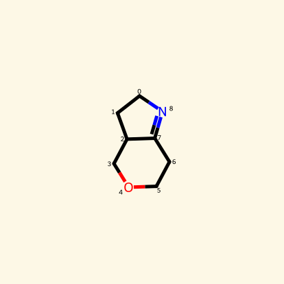 C1CC2COCCC2=N1